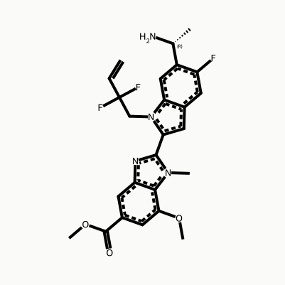 C=CC(F)(F)Cn1c(-c2nc3cc(C(=O)OC)cc(OC)c3n2C)cc2cc(F)c([C@@H](C)N)cc21